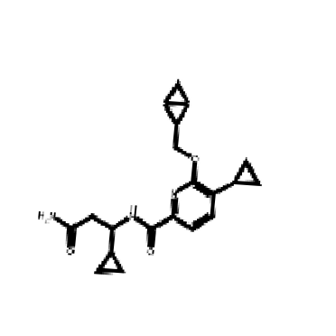 NC(=O)CC(NC(=O)c1ccc(C2CC2)c(OCC2C3CC23)n1)C1CC1